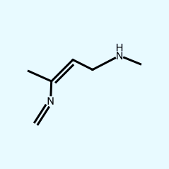 C=N/C(C)=C\CNC